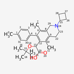 Cc1ccc(-c2c(C)c3c(c(C)c2C(OC(C)(C)C)C(=O)O)CCN(C2CCC2)C3)cc1